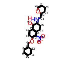 O=[N+]([O-])c1c(OCc2ccccc2)ccc2c1CCC(NCC1CCC=CO1)C2O